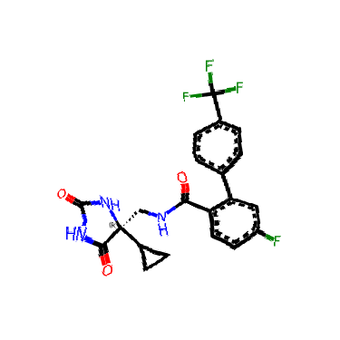 O=C1NC(=O)[C@](CNC(=O)c2ccc(F)cc2-c2ccc(C(F)(F)F)cc2)(C2CC2)N1